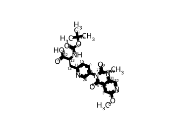 COc1cc2c(=O)n(-c3ccc(C[C@H](NC(=O)OC(C)(C)C)C(=O)O)nc3)c(=O)n(C)c2cn1